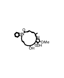 CO[C@H]1C[C@@H]2\C=C(C)/C=C/C=C/C(=O)N[C@H](c3ccccc3)C/C=C/CCC(O)CC(=O)C2=C1O